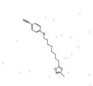 Cc1cc(CCCCCCCCOc2ccc(C#N)cc2)on1